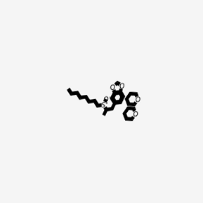 C1CCOCC1.C1CCOCC1.CCCCCCCC[S+]([O-])C(C)Cc1ccc2c(c1)OCO2